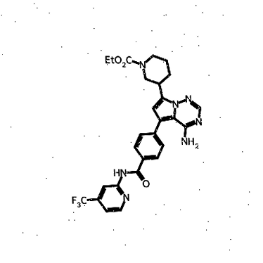 CCOC(=O)N1CCCC(c2cc(-c3ccc(C(=O)Nc4cc(C(F)(F)F)ccn4)cc3)c3c(N)ncnn23)C1